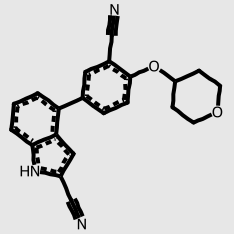 N#Cc1cc2c(-c3ccc(OC4CCOCC4)c(C#N)c3)cccc2[nH]1